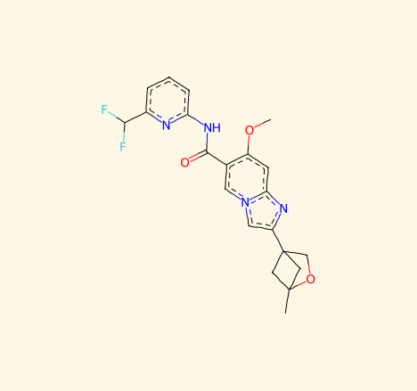 COc1cc2nc(C34COC(C)(C3)C4)cn2cc1C(=O)Nc1cccc(C(F)F)n1